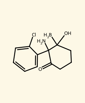 BC1(O)CCCC(=O)C1(N)c1ccccc1Cl